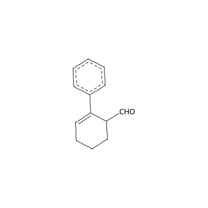 O=CC1CCCC=C1c1ccccc1